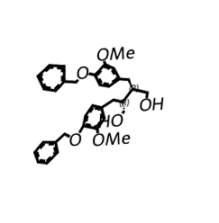 COc1cc(C[C@@H](CO)[C@H](CO)Cc2ccc(OCc3ccccc3)c(OC)c2)ccc1OCc1ccccc1